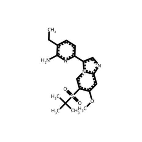 CCc1ccc(-c2cnc3cc(OC)c(S(=O)(=O)C(C)(C)C)cn23)nc1N